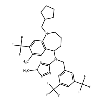 Cc1cc2c(cc1C(F)(F)F)N(CC1CCCC1)CCCC2N(Cc1cc(C(F)(F)F)cc(C(F)(F)F)c1)c1nnn(C)n1